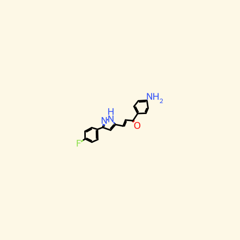 Nc1ccc(C(=O)C=Cc2cc(-c3ccc(F)cc3)n[nH]2)cc1